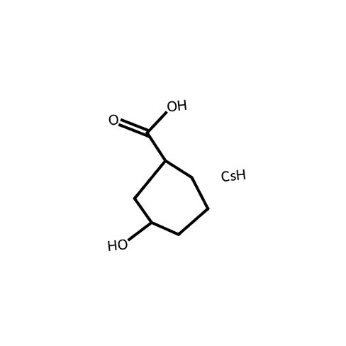 O=C(O)C1CCCC(O)C1.[CsH]